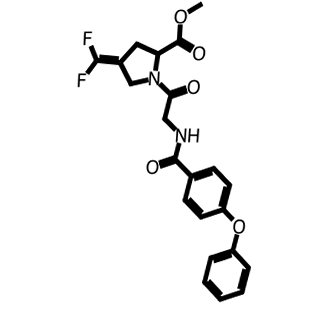 COC(=O)C1CC(=C(F)F)CN1C(=O)CNC(=O)c1ccc(Oc2ccccc2)cc1